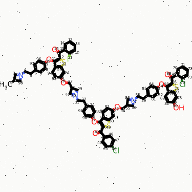 CC1CN(CCc2ccc(Oc3c(C(=O)c4ccccc4F)sc4cc(OCC5CN(CCc6ccc(Oc7c(C(=O)c8ccc(Cl)cc8)sc8cc(OCC9CN(CCc%10ccc(Oc%11c(C(=O)c%12ccccc%12Cl)sc%12cc(O)ccc%11%12)cc%10)C9)ccc78)cc6)C5)ccc34)cc2)C1